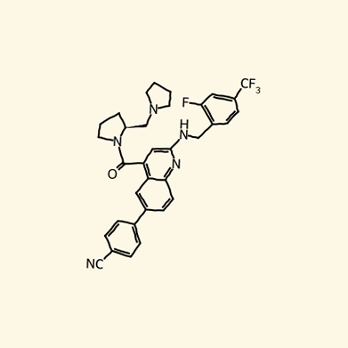 N#Cc1ccc(-c2ccc3nc(NCc4ccc(C(F)(F)F)cc4F)cc(C(=O)N4CCC[C@H]4CN4CCCC4)c3c2)cc1